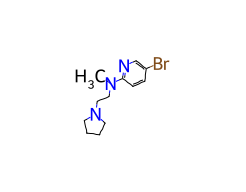 CN(CCN1CCCC1)c1ccc(Br)cn1